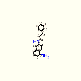 Nc1cccc2c1CCC(NCCCc1ccccc1)C2